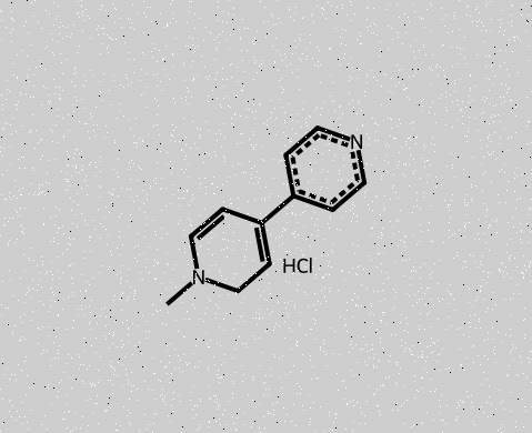 CN1C=CC(c2ccncc2)=CC1.Cl